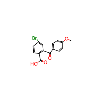 COc1ccc(C(=O)c2cc(Br)ccc2C(=O)O)cc1